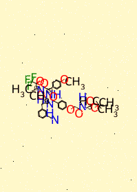 COc1ccc([C@H](NC(=O)[C@H](Cc2cccc(C#N)c2)NC(=O)c2ccc(OCC(=O)NCC(=O)OC(C)(C)C)cc2)C(=O)N[C@H](C(=O)C(F)(F)F)C(C)C)cc1